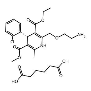 CCOC(=O)C1=C(COCCN)NC(C)=C(C(=O)OC)[C@@H]1c1ccccc1Cl.O=C(O)CCCCC(=O)O